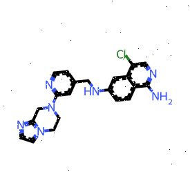 Nc1ncc(Cl)c2cc(NCc3ccnc(N4CCn5ccnc5C4)c3)ccc12